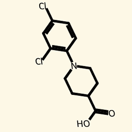 O=C(O)C1CCN(c2ccc(Cl)cc2Cl)CC1